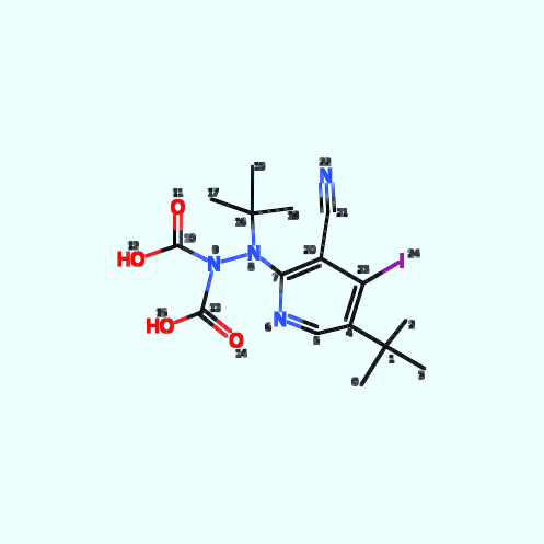 CC(C)(C)c1cnc(N(N(C(=O)O)C(=O)O)C(C)(C)C)c(C#N)c1I